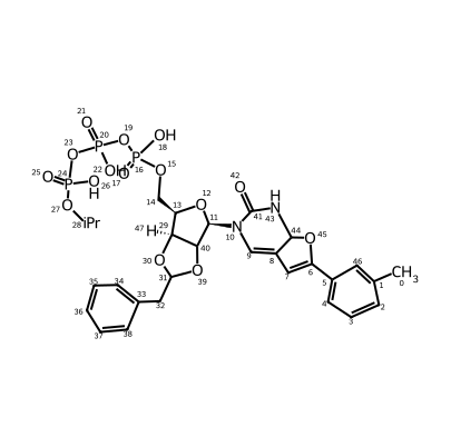 Cc1cccc(C2=CC3=CN([C@@H]4O[C@H](COP(=O)(O)OP(=O)(O)OP(=O)(O)OC(C)C)[C@@H]5OC(Cc6ccccc6)OC54)C(=O)NC3O2)c1